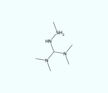 C[SiH2]NC(N(C)C)N(C)C